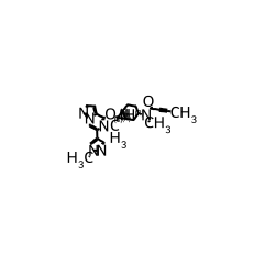 CC#CC(=O)N(C)[C@@H]1CC[C@H]2[C@@H](C1)[C@]2(C)Oc1nc(-c2cnn(C)c2)cn2nccc12